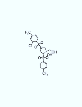 O=S(=O)(c1ccc(C(F)(F)F)cc1)[C@H]1CN(S(=O)(=O)c2ccc(C(F)(F)F)cc2Cl)C[C@@]1(O)CO